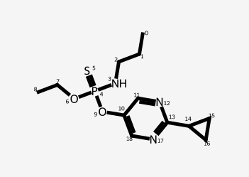 CCCNP(=S)(OCC)Oc1cnc(C2CC2)nc1